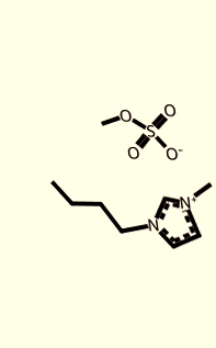 CCCCn1cc[n+](C)c1.COS(=O)(=O)[O-]